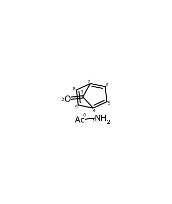 CC(N)=O.O=C1C2=CC=C1C=C2